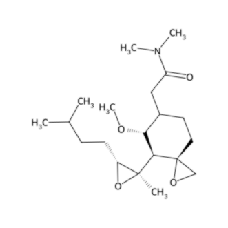 CO[C@@H]1C(CC(=O)N(C)C)CC[C@]2(CO2)[C@H]1[C@@]1(C)O[C@@H]1CCC(C)C